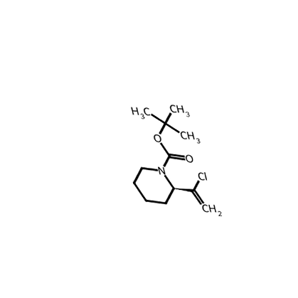 C=C(Cl)[C@H]1CCCCN1C(=O)OC(C)(C)C